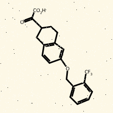 O=C(O)C(=O)C1CCc2cc(OCc3ccccc3C(F)(F)F)ccc2C1